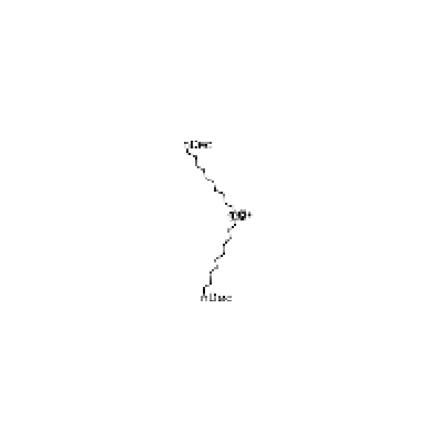 CCCCCCCCCCCCCCCCCCC[CH2][Sn+2][CH2]CCCCCCCCCCCCCCCCCCC.[Cl-].[Cl-]